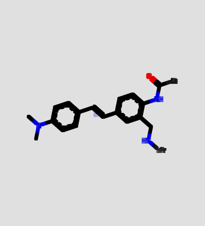 CCCNCc1cc(/C=C/c2ccc(N(C)C)cc2)ccc1NC(=O)CC